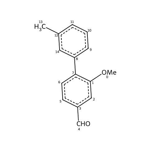 COc1cc(C=O)ccc1-c1cccc(C)c1